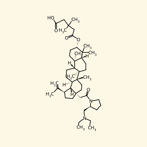 C=C(C)[C@@H]1CC[C@]2(CC(=O)N3CCC[C@H]3CN(CC)CC)CC[C@]3(C)[C@H](CC[C@@H]4[C@@]5(C)CC[C@H](OC(=O)CC(C)(C)CC(=O)O)C(C)(C)[C@@H]5CC[C@]43C)[C@@H]12